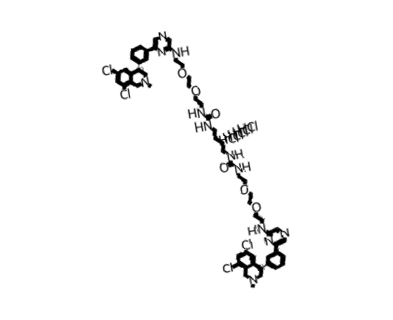 CN1Cc2c(Cl)cc(Cl)cc2[C@H](c2cccc(-c3cncc(NCCOCCOCCNC(=O)NCCCCNC(=O)NCCOCCOCCNc4cncc(-c5cccc([C@@H]6CN(C)Cc7c(Cl)cc(Cl)cc76)c5)n4)n3)c2)C1.Cl.Cl.Cl.Cl.Cl